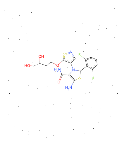 NC(=O)C1=C(N)SC(c2c(F)cccc2F)N1c1cnsc1OCCC(O)CO